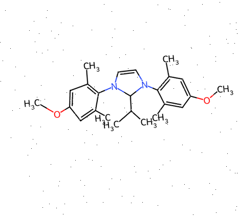 COc1cc(C)c(N2C=CN(c3c(C)cc(OC)cc3C)C2C(C)C)c(C)c1